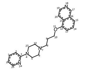 c1ccc(N2CCN(CCCOc3cccc4cnccc34)CC2)nc1